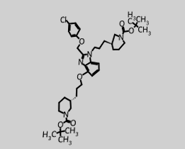 CC(C)(C)OC(=O)N1CCC[C@H](CCCOc2cccc3c2nc(COc2ccc(Cl)cc2)n3CCC[C@@H]2CCCN(C(=O)OC(C)(C)C)C2)C1